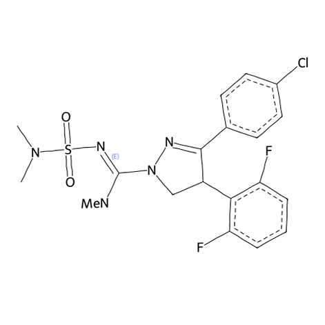 CN/C(=N\S(=O)(=O)N(C)C)N1CC(c2c(F)cccc2F)C(c2ccc(Cl)cc2)=N1